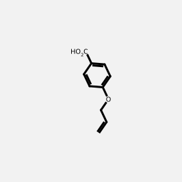 C=CCOc1ccc(C(=O)O)cc1